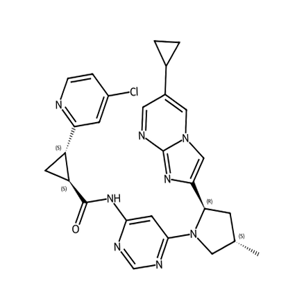 C[C@H]1C[C@H](c2cn3cc(C4CC4)cnc3n2)N(c2cc(NC(=O)[C@H]3C[C@@H]3c3cc(Cl)ccn3)ncn2)C1